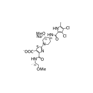 COC[C@H](C)NC(=O)c1nc(N2CC[C@@H](NC(=O)c3[nH]c(C)c(Cl)c3Cl)[C@@H](OC)C2)sc1C(=O)[O-].[Na+]